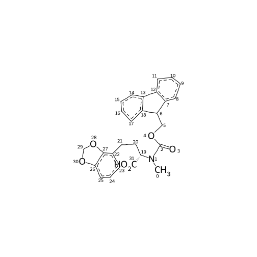 CN(C(=O)OCC1c2ccccc2-c2ccccc21)[C@@H](CCc1cccc2c1OCO2)C(=O)O